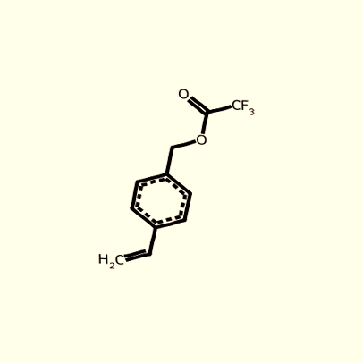 C=Cc1ccc(COC(=O)C(F)(F)F)cc1